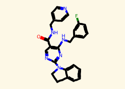 O=C(NCc1ccncc1)c1cnc(N2CCc3ccccc32)nc1NCc1cccc(F)c1